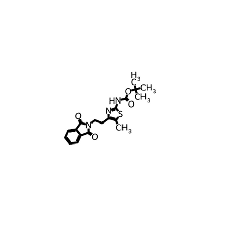 Cc1sc(NC(=O)OC(C)(C)C)nc1CCN1C(=O)c2ccccc2C1=O